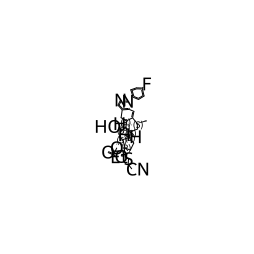 CCC(=O)O[C@]1(C(=O)SCC#N)CC[C@H]2[C@@H]3C[C@H](C)C4=Cc5c(cnn5-c5ccc(F)cc5)C[C@]4(C)[C@H]3[C@@H](O)C[C@@]21C